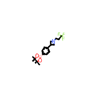 CC1(C)OB(c2ccc(C3CN(CCC(F)(F)F)C3)cc2)OC1(C)C